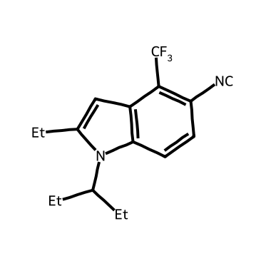 [C-]#[N+]c1ccc2c(cc(CC)n2C(CC)CC)c1C(F)(F)F